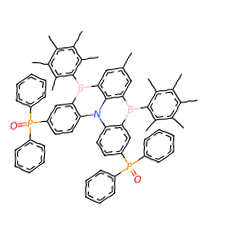 Cc1cc2c3c(c1)B(c1c(C)c(C)c(C)c(C)c1C)c1cc(P(=O)(c4ccccc4)c4ccccc4)ccc1N3c1ccc(P(=O)(c3ccccc3)c3ccccc3)cc1B2c1c(C)c(C)c(C)c(C)c1C